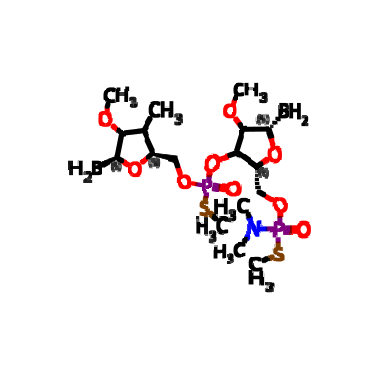 B[C@@H]1O[C@H](COP(=O)(OC2C(OC)[C@H](B)O[C@@H]2COP(=O)(SC)N(C)C)SC)C(C)C1OC